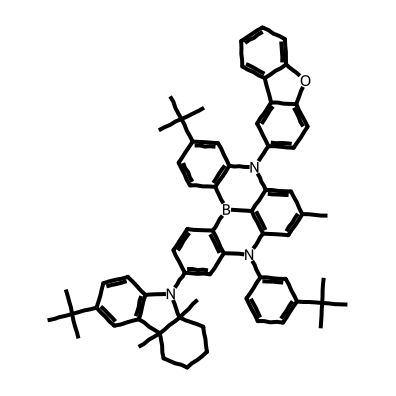 Cc1cc2c3c(c1)N(c1ccc4oc5ccccc5c4c1)c1cc(C(C)(C)C)ccc1B3c1ccc(N3c4ccc(C(C)(C)C)cc4C4(C)CCCCC34C)cc1N2c1cccc(C(C)(C)C)c1